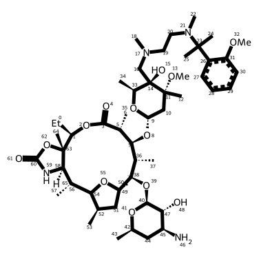 CC[C@H]1OC(=O)[C@H](C)[C@@H](O[C@H]2C[C@@](C)(OC)[C@@](O)(CN(C)CCN(C)C(C)(C)c3ccccc3OC)[C@H](C)O2)[C@H](C)[C@@H](O[C@@H]2O[C@H](C)C[C@H](N)[C@H]2O)[C@@]2(C)C[C@@H](C)C(O2)[C@H](C)[C@H]2NC(=O)O[C@@]21C